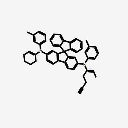 C#CCC/C(=C\C)N(c1cccc(C)c1)c1ccc2c(c1)C1(c3ccccc3-c3ccccc31)c1cc(N(C3=CCCCC3)c3cccc(C)c3)ccc1-2